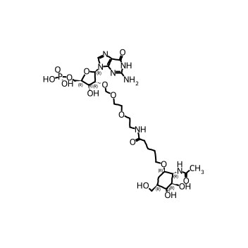 CC(=O)N[C@@H]1[C@@H](O)[C@@H](O)[C@@H](CO)C[C@H]1OCCCCC(=O)NCCOCCOCO[C@@H]1[C@H](O)[C@@H](COP(=O)(O)O)O[C@H]1n1cnc2c(=O)[nH]c(N)nc21